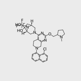 CN1CCCC1COc1nc2c(c(N3C[C@H]4CC(O)(C(F)F)[C@@H](C3)N4C(=O)O)n1)CCN(c1cccc3cccc(Cl)c13)C2